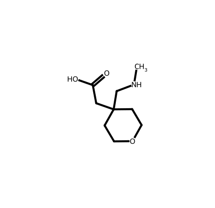 CNCC1(CC(=O)O)CCOCC1